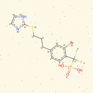 O=P(O)(O)C(F)(F)c1ccc(CCCSc2ncc[nH]2)cc1Br